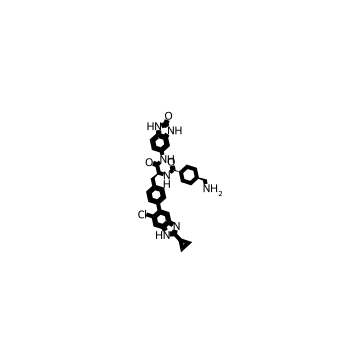 NC[C@H]1CC[C@H](C(=O)N[C@@H](Cc2ccc(-c3cc4nc(C5CC5)[nH]c4cc3Cl)cc2)C(=O)Nc2ccc3[nH]c(=O)[nH]c3c2)CC1